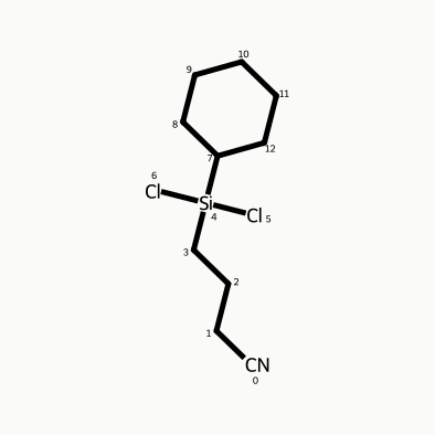 N#CCCC[Si](Cl)(Cl)C1CCCCC1